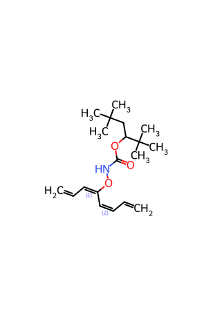 C=C/C=C\C(=C/C=C)ONC(=O)OC(CC(C)(C)C)C(C)(C)C